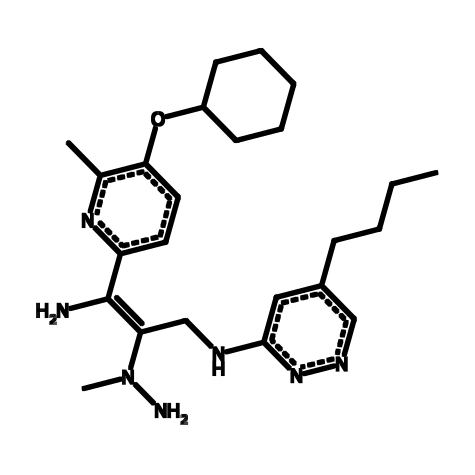 CCCCc1cnnc(NC/C(=C(/N)c2ccc(OC3CCCCC3)c(C)n2)N(C)N)c1